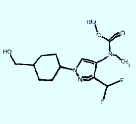 CN(C(=O)OC(C)(C)C)c1cn(C2CCC(CO)CC2)nc1C(F)F